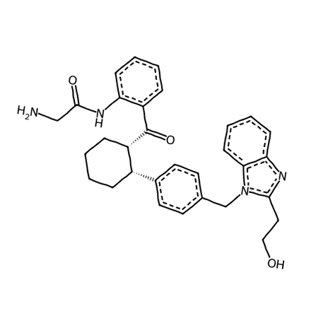 NCC(=O)Nc1ccccc1C(=O)[C@H]1CCCC[C@H]1c1ccc(Cn2c(CCO)nc3ccccc32)cc1